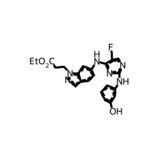 CCOC(=O)CCn1ncc2ccc(Nc3nc(Nc4cccc(O)c4)ncc3F)cc21